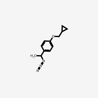 CC(N=[N+]=[N-])c1ccc(OCC2CC2)cc1